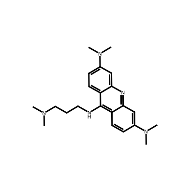 CN(C)CCCNc1c2ccc(N(C)C)cc2nc2cc(N(C)C)ccc12